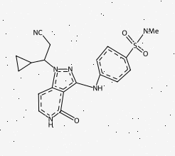 CNS(=O)(=O)c1ccc(Nc2nn(C(CC#N)C3CC3)c3cc[nH]c(=O)c23)cc1